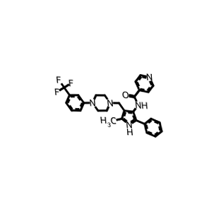 Cc1[nH]c(-c2ccccc2)c(NC(=O)c2ccncc2)c1CN1CCN(c2cccc(C(F)(F)F)c2)CC1